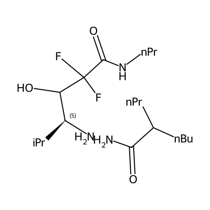 CCCCC(CCC)C(N)=O.CCCNC(=O)C(F)(F)C(O)[C@@H](N)C(C)C